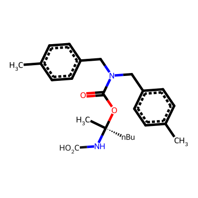 CCCC[C@@](C)(NC(=O)O)OC(=O)N(Cc1ccc(C)cc1)Cc1ccc(C)cc1